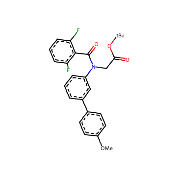 COc1ccc(-c2cccc(N(CC(=O)OC(C)(C)C)C(=O)c3c(F)cccc3F)c2)cc1